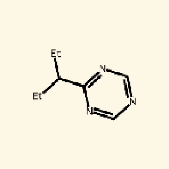 CCC(CC)c1ncncn1